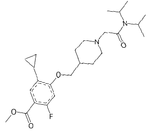 COC(=O)c1cc(C2CC2)c(OCC2CCN(CC(=O)N(C(C)C)C(C)C)CC2)cc1F